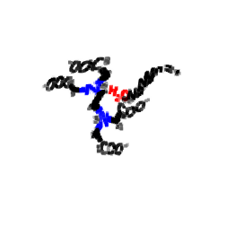 O.O=C([O-])CN(CCN(CC(=O)[O-])CC(=O)[O-])CC(=O)[O-].[Mn+2].[Na+].[Na+]